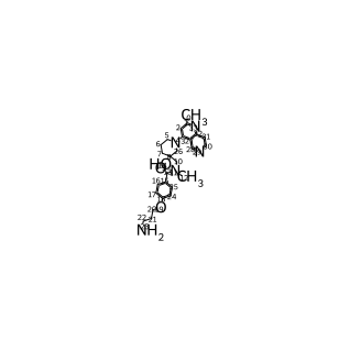 Cc1cc(N2CCCC(O)(CN(C)C(=O)c3ccc(OCCCN)cc3)C2)c2cnccc2n1